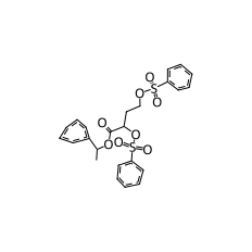 CC(OC(=O)C(CCOS(=O)(=O)c1ccccc1)OS(=O)(=O)c1ccccc1)c1ccccc1